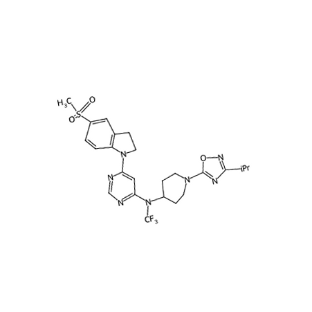 CC(C)c1noc(N2CCC(N(c3cc(N4CCc5cc(S(C)(=O)=O)ccc54)ncn3)C(F)(F)F)CC2)n1